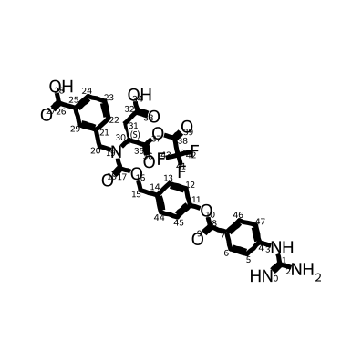 N=C(N)Nc1ccc(C(=O)Oc2ccc(COC(=O)N(Cc3cccc(C(=O)O)c3)[C@@H](CC(=O)O)C(=O)OC(=O)C(F)(F)F)cc2)cc1